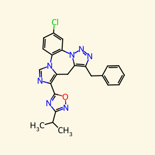 CC(C)c1noc(-c2ncn3c2Cc2c(Cc4ccccc4)nnn2-c2cc(Cl)ccc2-3)n1